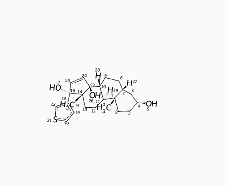 C[C@]12CC[C@H](O)C[C@H]1CC[C@@H]1[C@@H]2CC[C@]2(C)[C@@](O)(c3ccsc3)C=C[C@]12O